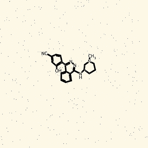 CN1CCCC(Nc2nnc(-c3ccc(C#N)cc3O)c3ccccc23)C1